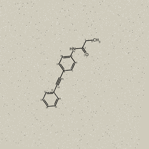 CCC(=O)Nc1ccc(C#Cc2ccccc2)cc1